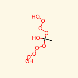 CC(O)(OOOO)OOOOO